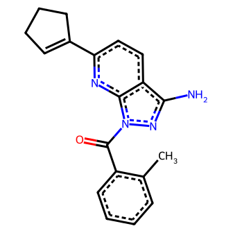 Cc1ccccc1C(=O)n1nc(N)c2ccc(C3=CCCC3)nc21